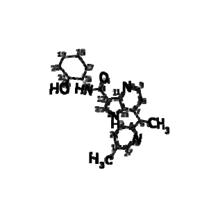 Cc1ccc(C(C)c2ccnc3c(C(=O)N[C@H]4CCCC[C@@H]4O)c[nH]c23)nc1